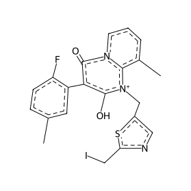 Cc1ccc(F)c(-c2c(O)[n+](Cc3cnc(CI)s3)c3c(C)cccn3c2=O)c1